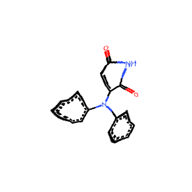 O=C1C=C(N(c2ccccc2)c2ccccc2)C(=O)N1